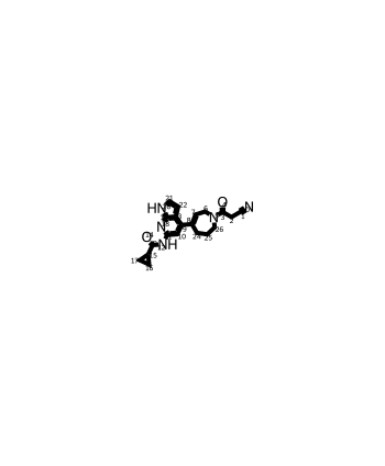 N#CCC(=O)N1CC=C(c2cc(NC(=O)C3CC3)nc3[nH]ccc23)CCC1